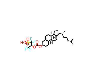 CC(C)CCC[C@@H](C)[C@H]1CC[C@H]2[C@@H]3CC=C4CC(OC(=O)OC(C(F)(F)F)C(F)(F)S(=O)(=O)O)CC[C@]4(C)[C@H]3CC[C@]12C